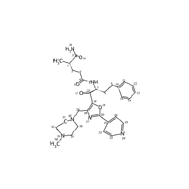 CC(C[CH]C(=O)NC(CCc1ccccc1)C(=O)c1oc(-c2ccncc2)nc1CN1CCN(C)CC1)C(N)=O